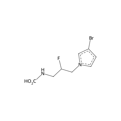 O=C(O)NCC(F)Cn1ccc(Br)c1